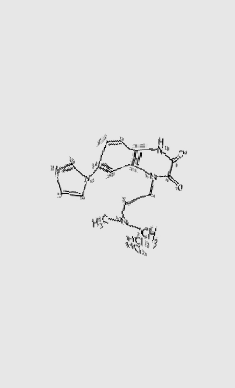 CN(C)CCn1c(=O)c(=O)[nH]c2ccc(-n3ccnc3)cc21.Cl.Cl